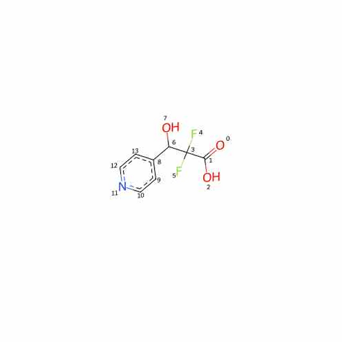 O=C(O)C(F)(F)C(O)c1ccncc1